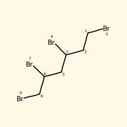 BrC[CH]C(Br)CC(Br)CBr